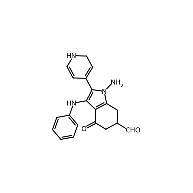 Nn1c2c(c(Nc3ccccc3)c1C1=CCNC=C1)C(=O)CC(C=O)C2